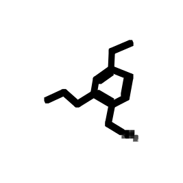 CCCc1cc(CC)ccc1CN